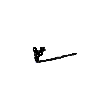 CC#CC#CC#CC#CC#CC#CC#CC#CC#CC#C/C=C\OCC(CPC=O)OCOCC[Si](C)(C)C